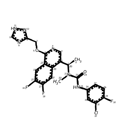 C[C@H](c1cnc(OCc2nc[nH]n2)c2cc(F)c(F)cc12)N(C)C(=O)Nc1ccc(F)c(Cl)c1